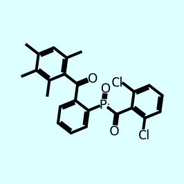 Cc1cc(C)c(C(=O)c2ccccc2[P](=O)C(=O)c2c(Cl)cccc2Cl)c(C)c1C